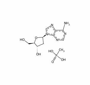 CP(=O)(O)O.Nc1ncnc2c1ncn2[C@H]1C[C@H](O)[C@@H](CO)O1